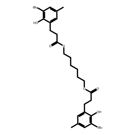 Cc1cc(CCC(=O)OCCCCCCOC(=O)CCc2cc(C)cc(C(C)(C)C)c2O)c(O)c(C(C)(C)C)c1